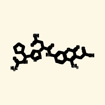 CC(=O)NC(c1cn(C(CC(=O)O)C(=O)Nc2ccc3c(C)c(CC(=O)O)c(=O)oc3c2)nn1)C1CCCC1